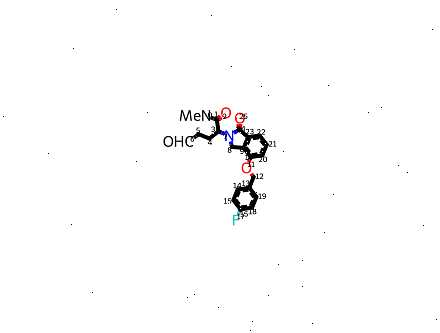 CNC(=O)C(CCC=O)N1Cc2c(OCc3ccc(F)cc3)cccc2C1=O